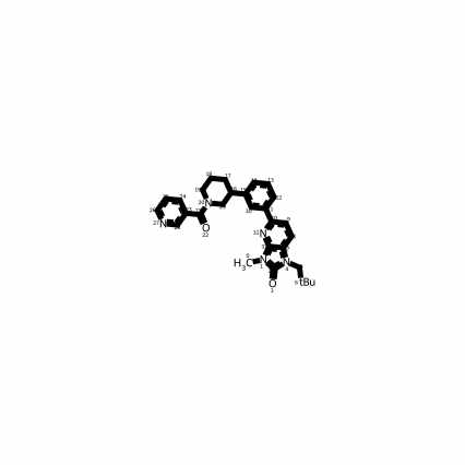 Cn1c(=O)n(CC(C)(C)C)c2ccc(-c3cccc(C4CCCN(C(=O)c5cccnc5)C4)c3)nc21